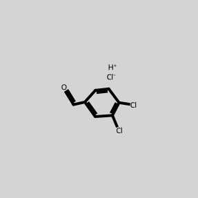 O=Cc1ccc(Cl)c(Cl)c1.[Cl-].[H+]